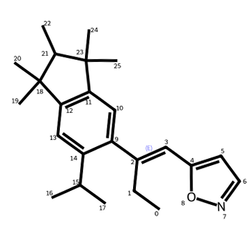 CC/C(=C\c1ccno1)c1cc2c(cc1C(C)C)C(C)(C)C(C)C2(C)C